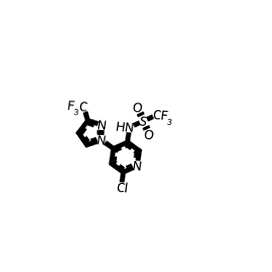 O=S(=O)(Nc1cnc(Cl)cc1-n1ccc(C(F)(F)F)n1)C(F)(F)F